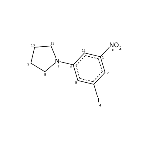 O=[N+]([O-])c1cc(I)cc(N2CCCC2)c1